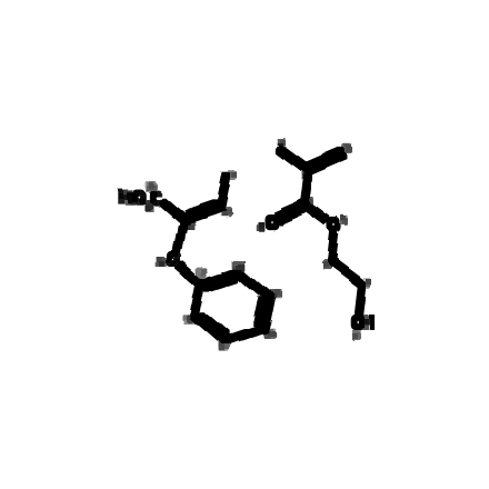 C=C(C)C(=O)OCCO.CC=C(Oc1ccccc1)C(=O)OCC